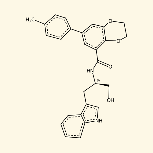 Cc1ccc(-c2cc3c(c(C(=O)N[C@@H](CO)Cc4c[nH]c5ccccc45)c2)OCCO3)cc1